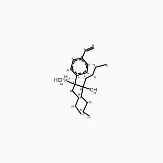 C=Cc1ccc(C(P)(CCCC)C(O)(CCCC)CCCC)cc1.Cl